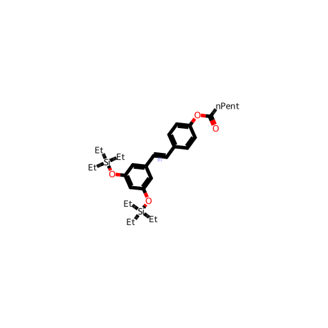 CCCCCC(=O)Oc1ccc(/C=C/c2cc(O[Si](CC)(CC)CC)cc(O[Si](CC)(CC)CC)c2)cc1